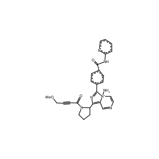 COCC#CC(=O)N1CCCC1C1=C2C=NC=C[N+]2(N)C(c2ccc(C(=O)Nc3ccccn3)cc2)=N1